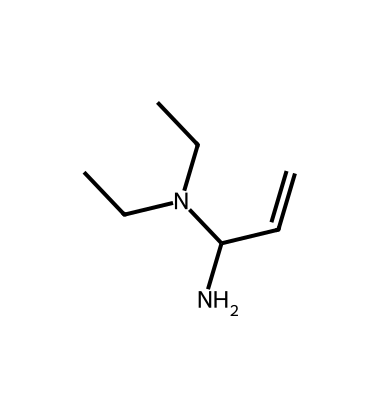 C=CC(N)N(CC)CC